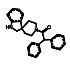 O=C(C(c1ccccc1)c1ccccc1)N1CCC2(CC1)CNc1ccccc12